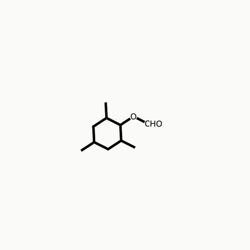 CC1CC(C)C(OC=O)C(C)C1